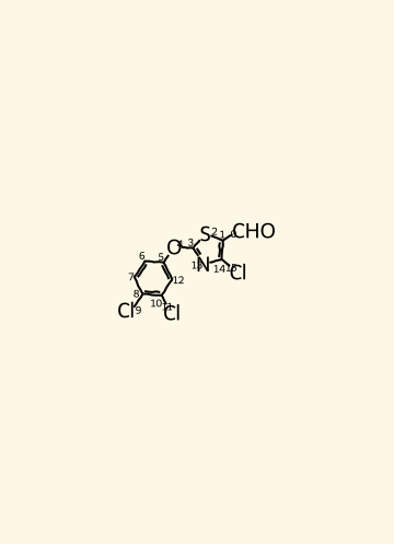 O=Cc1sc(Oc2ccc(Cl)c(Cl)c2)nc1Cl